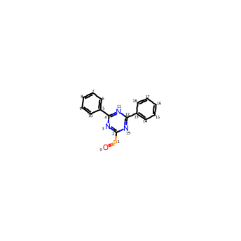 O=Pc1nc(-c2ccccc2)nc(-c2ccccc2)n1